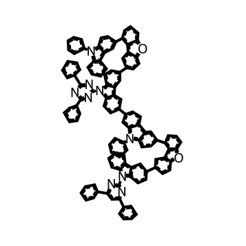 c1ccc(-c2cc(-c3ccccc3)nc(-n3c4ccccc4c4cc(-c5ccc6oc7cccc(-c8ccc9c(c8)c8ccc(-c%10ccc%11c(c%10)c%10cc(-c%12ccc%13oc%14cccc(-c%15ccc%16c(c%15)c%15ccccc%15n%16-c%15ccccc%15)c%14c%13c%12)ccc%10n%11-c%10nc(-c%11ccccc%11)nc(-c%11ccccc%11)n%10)cc8n9-c8ccccc8)c7c6c5)ccc43)n2)cc1